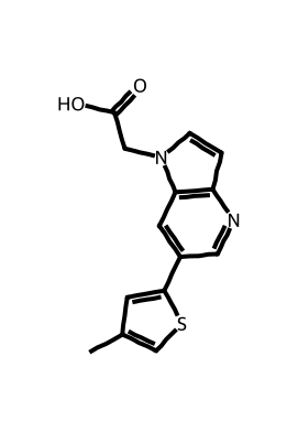 Cc1csc(-c2cnc3ccn(CC(=O)O)c3c2)c1